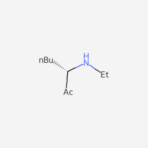 CCCC[C@H](NCC)C(C)=O